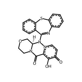 O=C1c2c(O)c(=O)ccn2N(C2=Nc3ccccc3Sc3ccccc32)[C@@H]2COCCN12